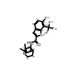 CC1(C)C(NC(=O)c2cc3ccc(F)c(C(F)(F)F)c3s2)C2CCN1CC2